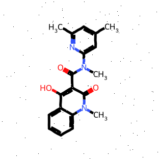 Cc1cc(C)nc(N(C)C(=O)c2c(O)c3ccccc3n(C)c2=O)c1